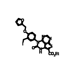 CCOC(=O)c1sc2ncnc3c2c1NC(=O)N3c1ccc(OCc2ccco2)c(CI)c1